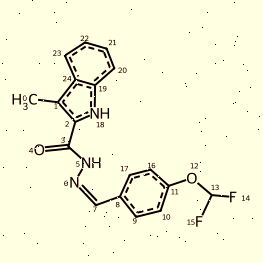 Cc1c(C(=O)N/N=C\c2ccc(OC(F)F)cc2)[nH]c2ccccc12